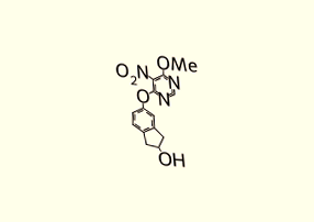 COc1ncnc(Oc2ccc3c(c2)CC(O)C3)c1[N+](=O)[O-]